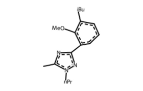 CCCn1nc(-c2cccc(C(C)CC)c2OC)nc1C